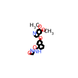 COc1cc2nccc(Oc3ccc4c(C(=O)Nc5ccon5)cccc4c3)c2cc1OC